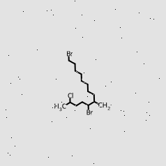 [CH2]C(CCCCCCCCBr)C(Br)CCC(C)Cl